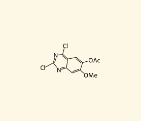 COc1cc2nc(Cl)nc(Cl)c2cc1OC(C)=O